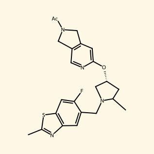 CC(=O)N1Cc2cnc(O[C@@H]3CC(C)N(Cc4cc5nc(C)sc5cc4F)C3)cc2C1